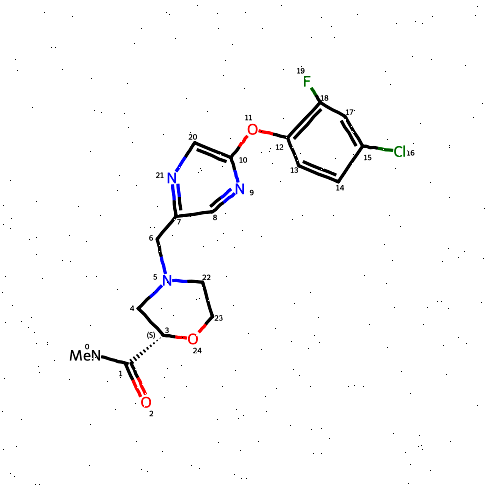 CNC(=O)[C@@H]1CN(Cc2cnc(Oc3ccc(Cl)cc3F)cn2)CCO1